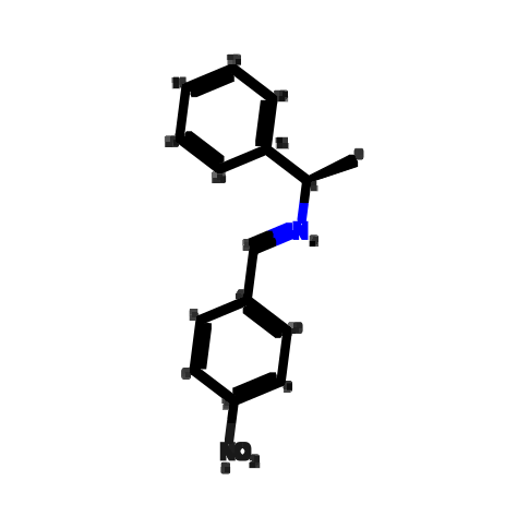 C[C@@H](N=Cc1ccc([N+](=O)[O-])cc1)c1ccccc1